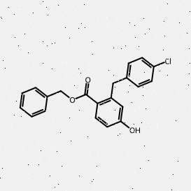 O=C(OCc1ccccc1)c1ccc(O)cc1Cc1ccc(Cl)cc1